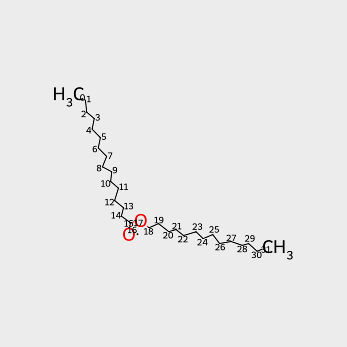 CCCCCCCCCCCCCCCC([O])OCCCCCCCCCCCCCC